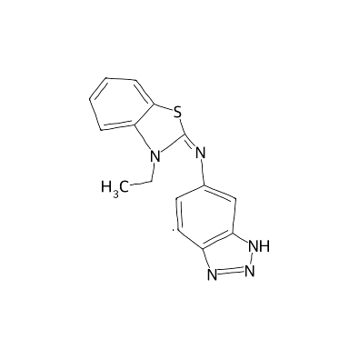 CCn1c(=Nc2c[c]c3nn[nH]c3c2)sc2ccccc21